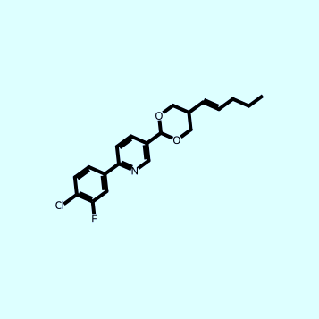 CCC/C=C/C1COC(c2ccc(-c3ccc(Cl)c(F)c3)nc2)OC1